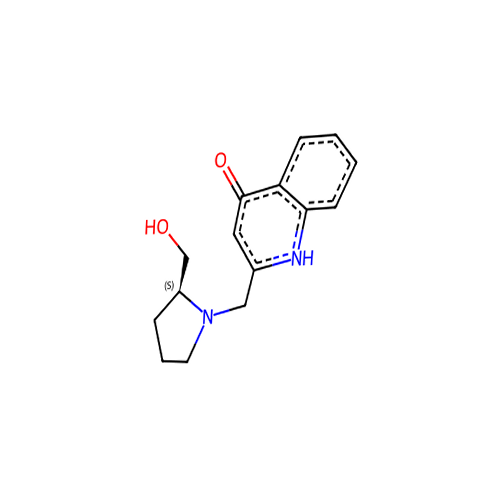 O=c1cc(CN2CCC[C@H]2CO)[nH]c2ccccc12